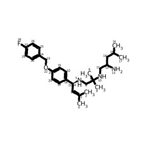 CC(C)=C[C@H](NCC(C)(C)NCC(N)CC(C)C)c1ccc(OCc2ccc(F)cc2)cc1